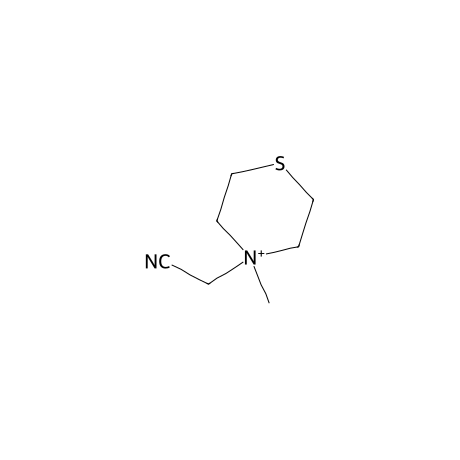 C[N+]1(CC#N)CCSCC1